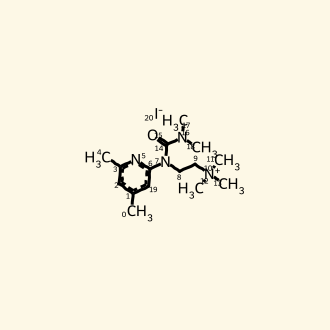 Cc1cc(C)nc(N(CC[N+](C)(C)C)C(=O)N(C)C)c1.[I-]